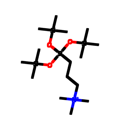 C[N+](C)(C)CCC[Si](O[Si](C)(C)C)(O[Si](C)(C)C)O[Si](C)(C)C